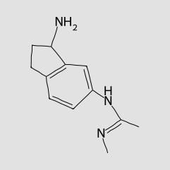 CN=C(C)Nc1ccc2c(c1)C(N)CC2